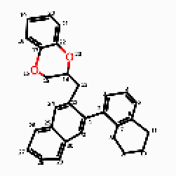 [c]1c(-c2cccc3c2CCCC3)c(CC2COc3ccccc3O2)cc2ccccc12